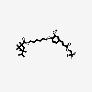 COc1cc(/C=C/C(=O)OCC(F)(F)F)ccc1OCCCCCCOC(=O)C(C)(CC(C)(C)C(C)C)C(C)(C)C